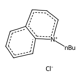 CCCC[n+]1cccc2ccccc21.[Cl-]